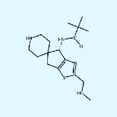 CNCc1nc2c(s1)CC1(CCNCC1)[C@@H]2N[S+]([O-])C(C)(C)C